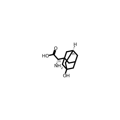 N[C@H](C(=O)O)C12CC3C[C@@H](CC(O)(C3)C1)C2